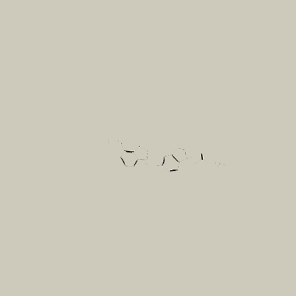 COC(=O)C[C@@H]1COc2cc(O[C@@H]3CCc4c(N)cccc43)ccc21